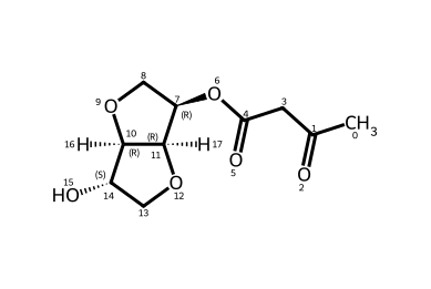 CC(=O)CC(=O)O[C@@H]1CO[C@H]2[C@@H]1OC[C@@H]2O